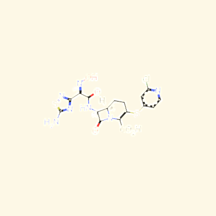 Nc1nc(/C(=N/O)C(=O)N[C@@H]2C(=O)N3C(C(=O)O)=C(Sc4ccnc(Cl)c4)CC[C@H]23)ns1